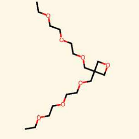 CCOCCOCCOCC1(COCCOCCOCC)COC1